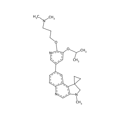 CC(C)Oc1cc(-c2ccc3ncc4c(c3c2)C2(CC2)CN4C)cnc1OCCCN(C)C